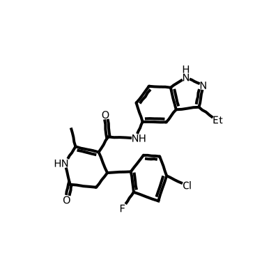 CCc1n[nH]c2ccc(NC(=O)C3=C(C)NC(=O)CC3c3ccc(Cl)cc3F)cc12